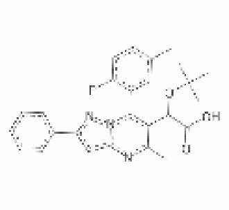 Cc1ccc(F)c(-c2c(C(OC(C)(C)C)C(=O)O)c(C)nc3cc(-c4ccccc4)nn23)c1